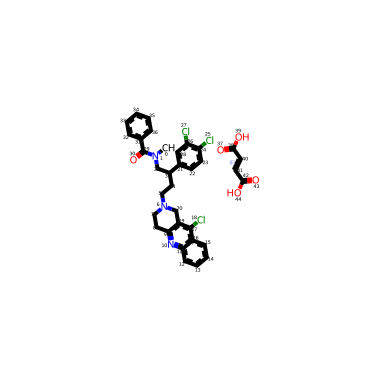 CN(CC(CCN1CCc2nc3ccccc3c(Cl)c2C1)c1ccc(Cl)c(Cl)c1)C(=O)c1ccccc1.O=C(O)/C=C/C(=O)O